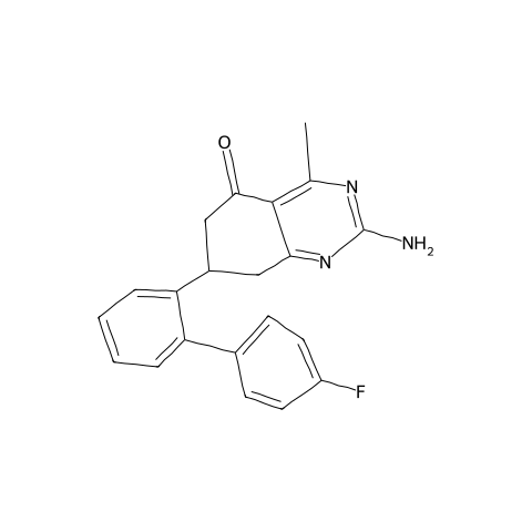 Cc1nc(N)nc2c1C(=O)CC(c1ccccc1-c1ccc(F)cc1)C2